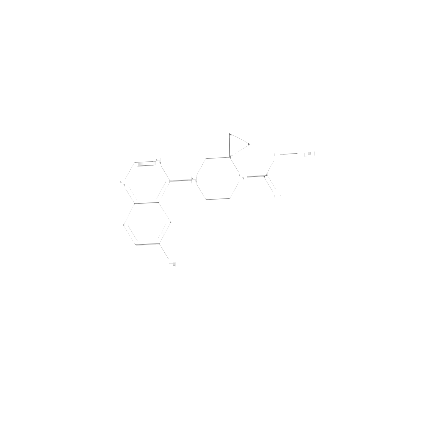 CC(C)(C)OC(=O)N1CCN(c2ncnc3ccc(Br)cc23)CC12CC2